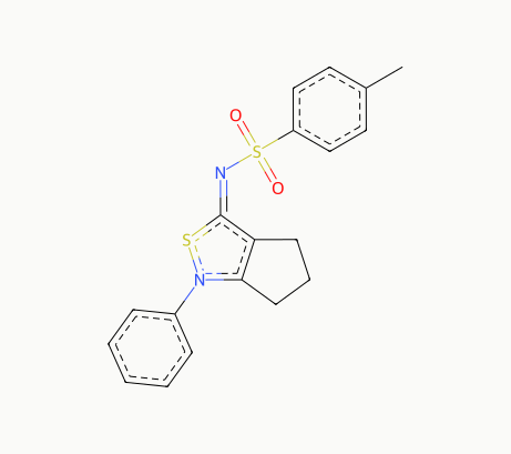 Cc1ccc(S(=O)(=O)N=c2sn(-c3ccccc3)c3c2CCC3)cc1